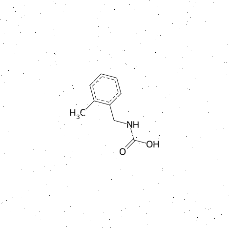 Cc1ccccc1CNC(=O)O